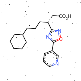 O=C(O)C[C@@H](CCCC1CCCCC1)c1noc(-c2cccnc2)n1